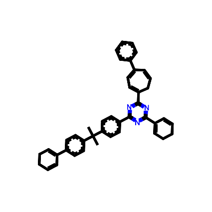 CC(C)(c1ccc(C2=CCCC=C2)cc1)c1ccc(-c2nc(C3=CCCC=C3)nc(C3=CC=C(c4ccccc4)C=CC3)n2)cc1